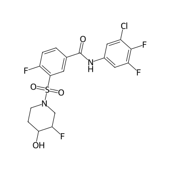 O=C(Nc1cc(F)c(F)c(Cl)c1)c1ccc(F)c(S(=O)(=O)N2CCC(O)C(F)C2)c1